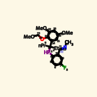 CCCC(CC)(Pc1ccc(F)cc1/C=N/C)c1cc(OC)cc(OC)c1OCOC